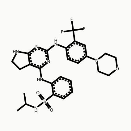 CC(C)NS(=O)(=O)c1ccccc1Nc1nc(Nc2ccc(N3CCOCC3)cc2C(F)(F)F)nc2c1CCN2